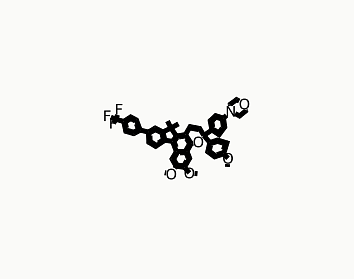 COc1ccc(C2(c3ccc(N4CCOCC4)cc3)C=Cc3c4c(c5cc(OC)c(OC)cc5c3O2)-c2ccc(-c3ccc(C(F)(F)F)cc3)cc2C4(C)C)cc1